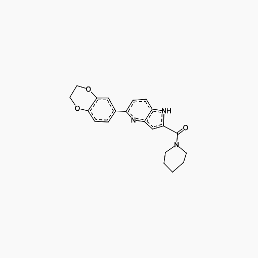 O=C(c1cc2nc(-c3ccc4c(c3)OCCO4)ccc2[nH]1)N1CCCCC1